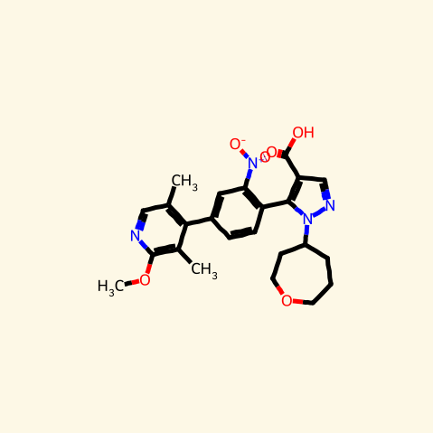 COc1ncc(C)c(-c2ccc(-c3c(C(=O)O)cnn3C3CCCOCC3)c([N+](=O)[O-])c2)c1C